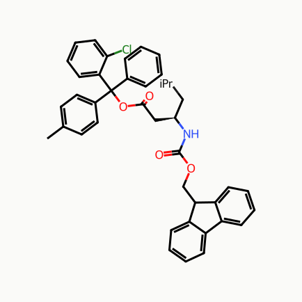 Cc1ccc(C(OC(=O)C[C@@H](CC(C)C)NC(=O)OCC2c3ccccc3-c3ccccc32)(c2ccccc2)c2ccccc2Cl)cc1